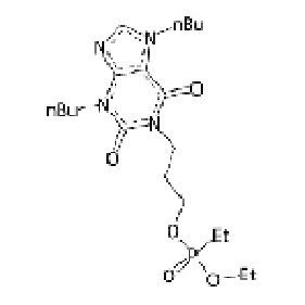 CCCCn1cnc2c1c(=O)n(CCCOP(=O)(CC)OCC)c(=O)n2CCCC